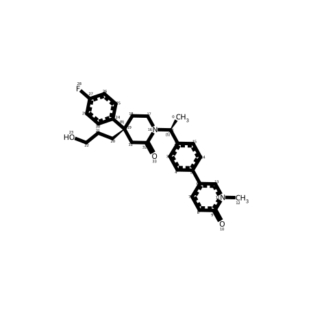 C[C@@H](c1ccc(-c2ccc(=O)n(C)c2)cc1)N1CC[C@@](CCCO)(c2ccc(F)cc2)CC1=O